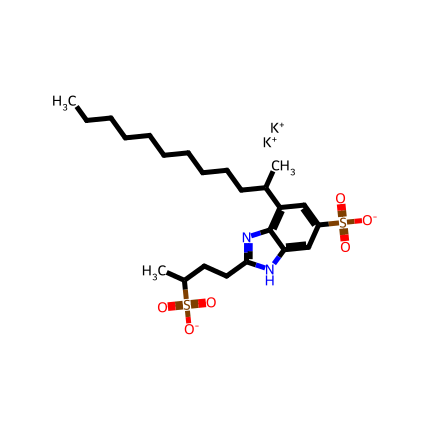 CCCCCCCCCCC(C)c1cc(S(=O)(=O)[O-])cc2[nH]c(CCC(C)S(=O)(=O)[O-])nc12.[K+].[K+]